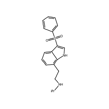 CC(C)NCCc1cccc2c(S(=O)(=O)c3ccccc3)c[nH]c12